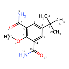 COc1c(C(N)=O)cc(C(C)(C)C)cc1C(N)=O